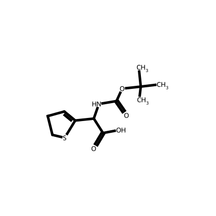 CC(C)(C)OC(=O)NC(C(=O)O)C1=CCCS1